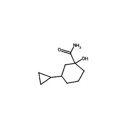 NC(=O)C1(O)CCCC(C2CC2)C1